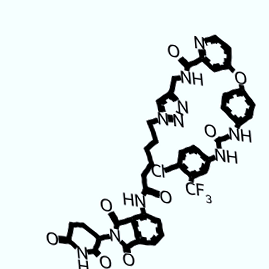 O=C1CCC(N2C(=O)c3cccc(NC(=O)CCCCCn4cc(CNC(=O)c5cc(Oc6ccc(NC(=O)Nc7ccc(Cl)c(C(F)(F)F)c7)cc6)ccn5)nn4)c3C2=O)C(=O)N1